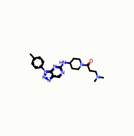 Cc1ccc(-n2nnc3cnc(NC4CCN(C(=O)CCN(C)C)CC4)nc32)cc1